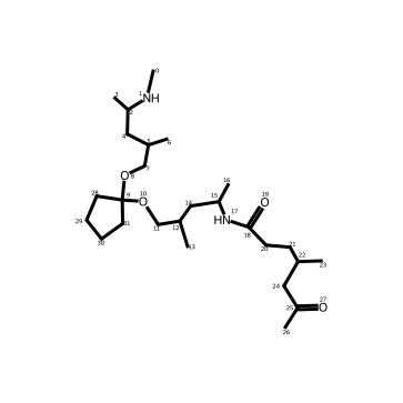 CNC(C)CC(C)COC1(OCC(C)CC(C)NC(=O)CCC(C)CC(C)=O)CCCC1